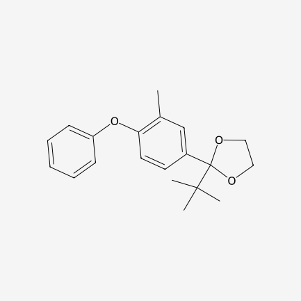 Cc1cc(C2(C(C)(C)C)OCCO2)ccc1Oc1ccccc1